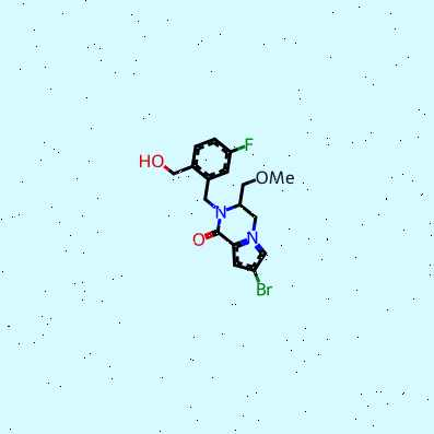 COCC1Cn2cc(Br)cc2C(=O)N1Cc1cc(F)ccc1CO